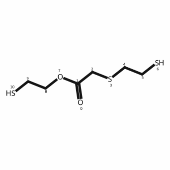 O=C(CSCCS)OCCS